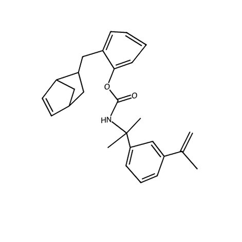 C=C(C)c1cccc(C(C)(C)NC(=O)Oc2ccccc2CC2CC3C=CC2C3)c1